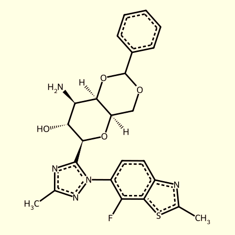 Cc1nc([C@@H]2O[C@@H]3COC(c4ccccc4)O[C@@H]3[C@H](N)[C@H]2O)n(-c2ccc3nc(C)sc3c2F)n1